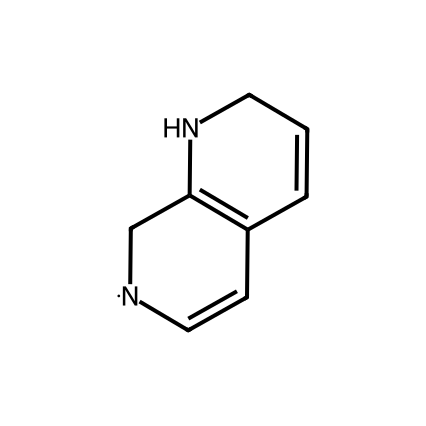 C1=CC2=C(C[N]C=C2)NC1